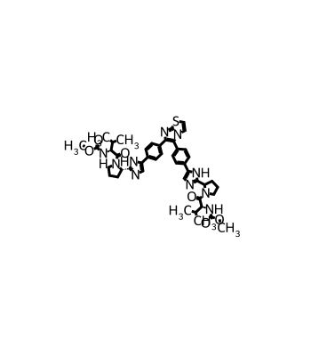 COC(=O)N[C@H](C(=O)N1CCCC1c1ncc(-c2ccc(-c3c(-c4ccc(-c5cnc([C@@H]6CCCN6C(=O)[C@@H](NC(=O)OC)C(C)C)[nH]5)cc4)nc4sccn34)cc2)[nH]1)C(C)C